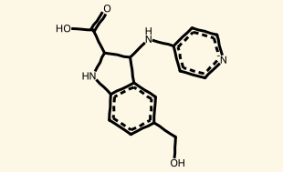 O=C(O)C1Nc2ccc(CO)cc2C1Nc1ccncc1